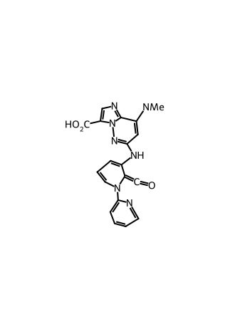 CNc1cc(NC2=CC=CN(c3ccccn3)C2=C=O)nn2c(C(=O)O)cnc12